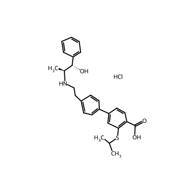 CC(C)Sc1cc(-c2ccc(CCN[C@@H](C)[C@@H](O)c3ccccc3)cc2)ccc1C(=O)O.Cl